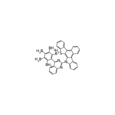 Bc1c(B)c(B)c(-c2nc(-n3c4ccccc4c4c5ccccc5c5c6ccccc6sc5c43)nc3ccccc23)c(B)c1B